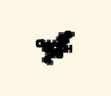 COc1ccc([C@@H]2Cc3cc(Cl)ccc3N(CCN(C)C)C(=O)[C@@H]2O)cc1